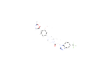 COc1cc(N2CCN(C(=O)Cn3cnc4cc(C(F)(F)F)ccc43)[C@H](C)C2)ccc1-c1cnc(C)o1